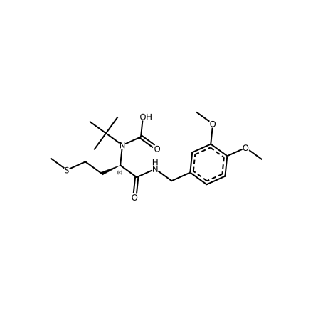 COc1ccc(CNC(=O)[C@@H](CCSC)N(C(=O)O)C(C)(C)C)cc1OC